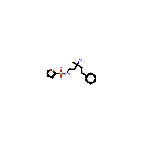 CC(N)(CCNS(=O)(=O)c1cccs1)CCc1ccccc1